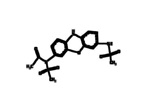 CC(=O)N(c1ccc2c(c1)Oc1cc(NS(C)(=O)=O)ccc1N2)S(C)(=O)=O